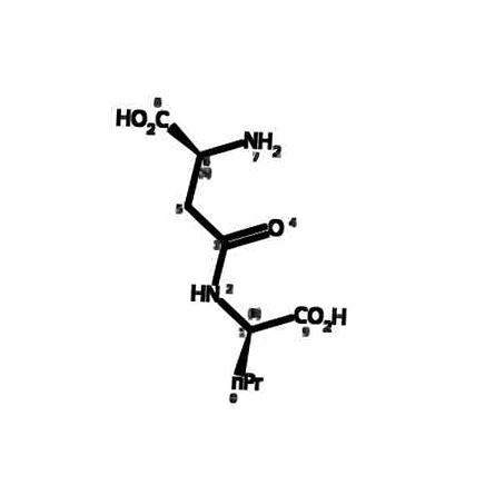 CCC[C@@H](NC(=O)C[C@H](N)C(=O)O)C(=O)O